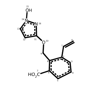 C=Cc1cccc(C(=O)O)c1COc1ccn(O)n1